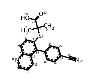 CC(C)(Sc1ccc2ncccc2c1-c1ccc(C#N)cc1)C(=O)O